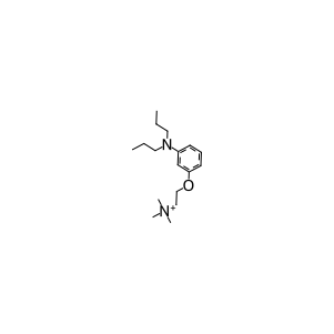 CCCN(CCC)c1cccc(OCC[N+](C)(C)C)c1